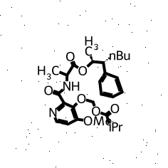 CCCC[C@H](c1ccccc1)[C@H](C)OC(=O)C(C)NC(=O)c1nccc(OC)c1OCOC(=O)C(C)C